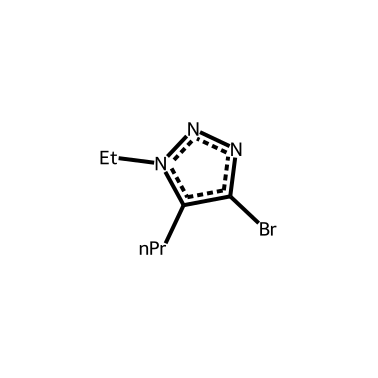 CCCc1c(Br)nnn1CC